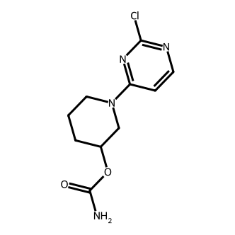 NC(=O)OC1CCCN(c2ccnc(Cl)n2)C1